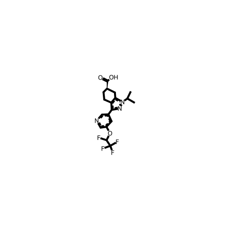 CC(C)n1nc(-c2cncc(OC(F)C(F)(F)F)c2)c2c1C[C@H](C(=O)O)CC2